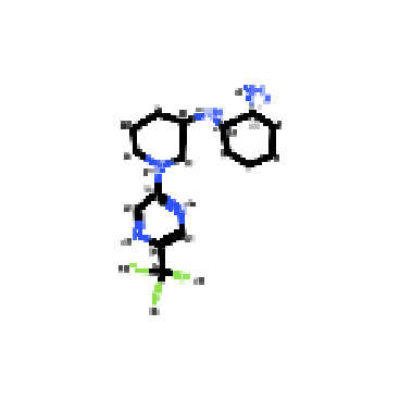 N[C@@H]1CCCC[C@H]1NC1CCCN(c2cnc(C(F)(F)F)cn2)C1